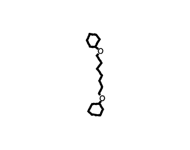 C(CCCOC1CCCCC1)CCCOC1CCCCC1